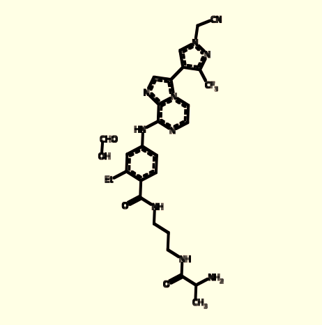 CCc1cc(Nc2nccn3c(-c4cn(CC#N)nc4C(F)(F)F)cnc23)ccc1C(=O)NCCCNC(=O)C(C)N.O=CO